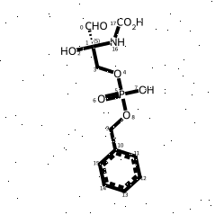 O=C[C@@](O)(COP(=O)(O)OCc1ccccc1)NC(=O)O